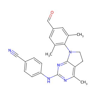 Cc1cc(C=O)cc(C)c1N1CCc2c(C)nc(Nc3ccc(C#N)cc3)nc21